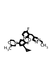 CCn1cc(Cc2c(F)ccn(-c3cc(N4CCO[C@H](C)C4)cc(C4CC4)c3F)c2=O)cn1